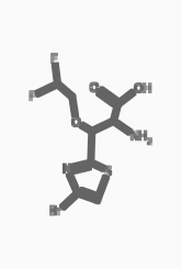 NC(C(=O)O)C(OCC(F)F)c1nc(Br)cs1